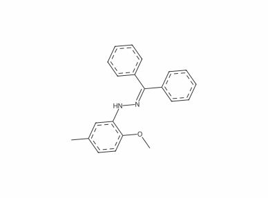 COc1ccc(C)cc1NN=C(c1ccccc1)c1ccccc1